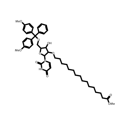 COC(=O)CCCCCCCCCCCCCCCOC1C(O)C(COC(c2ccccc2)(c2ccc(OC)cc2)c2ccc(OC)cc2)OC1n1ccc(=O)[nH]c1=O